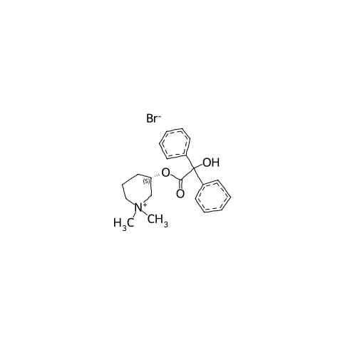 C[N+]1(C)CCC[C@H](OC(=O)C(O)(c2ccccc2)c2ccccc2)C1.[Br-]